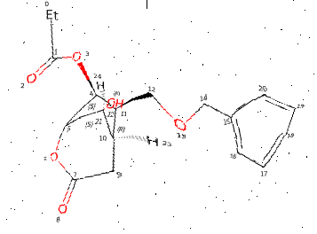 CCC(=O)O[C@@H]1C2OC(=O)C[C@H]([C@@H]1COCc1ccccc1)[C@@H]2O